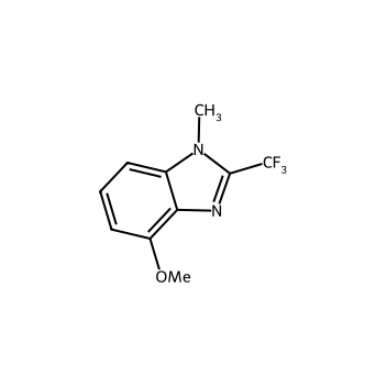 COc1cccc2c1nc(C(F)(F)F)n2C